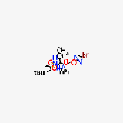 CCCc1nc(NS(=O)(=O)c2ccc(C(C)(C)C)cc2)c(-c2ccc(C)cc2)c(OCCOc2ncc(Br)cn2)n1